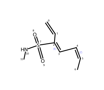 C=C/C(=C\C=C/C)S(=O)(=O)NC